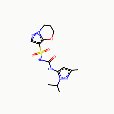 Cc1cc(NC(=O)NS(=O)(=O)c2cnn3c2OCCC3)n(C(C)C)n1